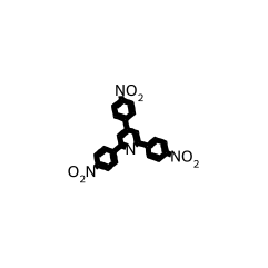 O=[N+]([O-])c1ccc(-c2cc(-c3ccc([N+](=O)[O-])cc3)nc(-c3ccc([N+](=O)[O-])cc3)c2)cc1